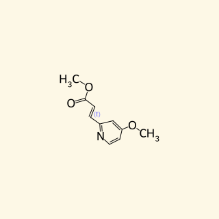 COC(=O)/C=C/c1cc(OC)ccn1